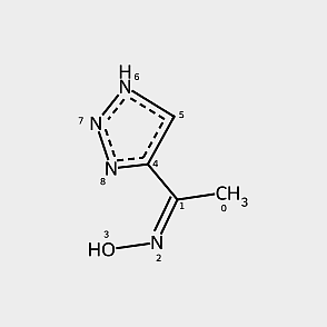 C/C(=N/O)c1c[nH]nn1